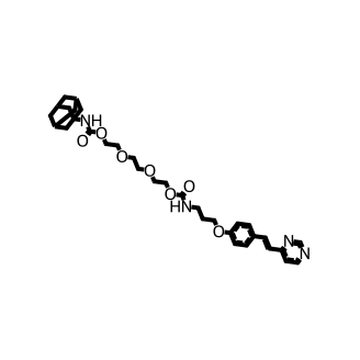 O=C(NCCCOc1ccc(/C=C/c2ccncn2)cc1)OCCOCCOCCOC(=O)NC12CC3CC(CC(C3)C1)C2